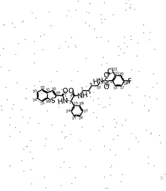 O=C(N[C@H](C(=O)NCCCCNS(=O)(=O)c1ccc(F)cc1Cl)c1ccccc1)c1cc2ccccc2s1